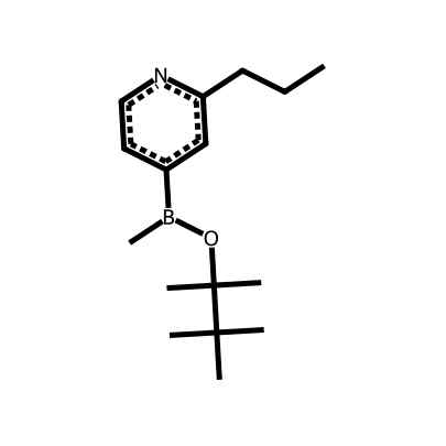 CCCc1cc(B(C)OC(C)(C)C(C)(C)C)ccn1